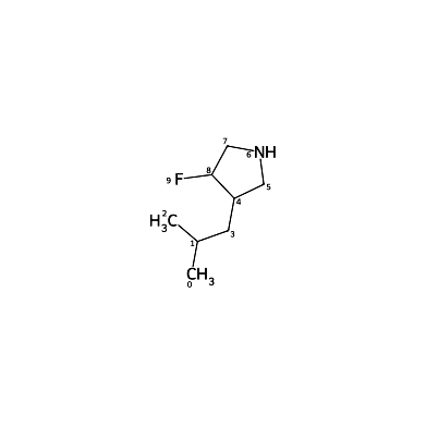 CC(C)CC1CNCC1F